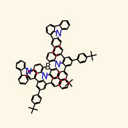 CC(C)(C)c1ccc(-c2cc(-c3ccccc3)c(N3c4cc(-c5ccc6c(c5)c5cccc7c8ccccc8n6c75)ccc4B4c5ccc(-n6c7ccccc7c7ccccc76)cc5N(c5c(-c6ccccc6)cc(-c6ccc(C(C)(C)C)cc6)cc5-c5ccccc5)c5cc(-c6ccccc6)cc3c54)c(-c3cccc(C(C)(C)C)c3)c2)cc1